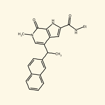 CCNC(=O)c1cc2c(C(C)c3ccc4ccccc4c3)cn(C)c(=O)c2[nH]1